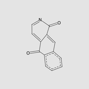 O=C1N=CC=C2C(=O)c3ccccc3C=C12